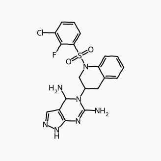 NC1=Nc2[nH]ncc2C(N)N1C1Cc2ccccc2N(S(=O)(=O)c2cccc(Cl)c2F)C1